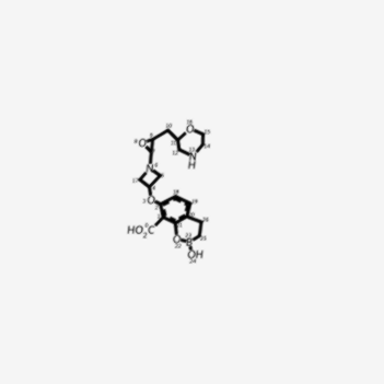 O=C(O)c1c(OC2CN(C3OC3CC3CNCCO3)C2)ccc2c1OB(O)CC2